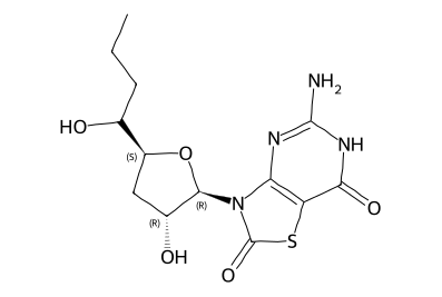 CCCC(O)[C@@H]1C[C@@H](O)[C@H](n2c(=O)sc3c(=O)[nH]c(N)nc32)O1